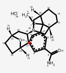 COC1(c2cccc(C(N)=O)c2)[C@@H]2CCC[C@H]1CN([C@@H]1C[C@H]3CC[C@@H](C1)O3)C2.Cl